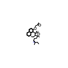 CC/C(C)=C\CCC1(C)ON=C(c2c(OCC3CO3)ccc3ccccc23)C1CC